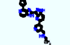 CCNCc1cncc(-c2ccc3[nH]nc(-c4nc5c(C6=CCC=C6)nccc5[nH]4)c3n2)c1